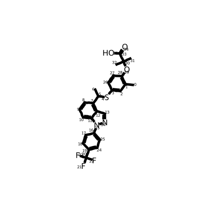 Cc1cc(SC(C)c2cccc3c2cnn3-c2ccc(C(F)(F)F)cc2)ccc1OC(C)(C)C(=O)O